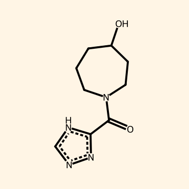 O=C(c1nnc[nH]1)N1CCCC(O)CC1